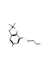 CC1(C)Cc2cc(Br)cc(OCCCCl)c2O1